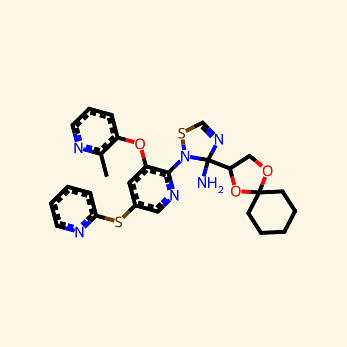 Cc1ncccc1Oc1cc(Sc2ccccn2)cnc1N1SC=NC1(N)C1COC2(CCCCC2)O1